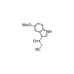 COc1ccc2[nH]cc(C(=O)CC#N)c2c1